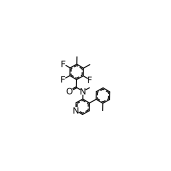 Cc1ccccc1-c1ccncc1N(C)C(=O)c1c(F)c(C)c(C)c(F)c1F